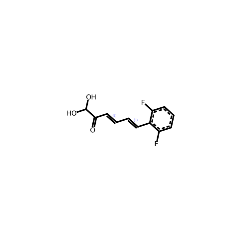 O=C(/C=C/C=C/c1c(F)cccc1F)C(O)O